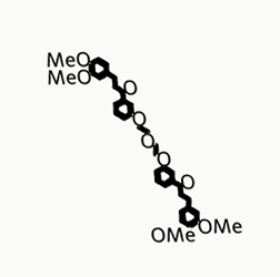 COc1ccc(CCC(=O)c2cccc(OCCOCCOc3cccc(C(=O)CCc4ccc(OC)c(OC)c4)c3)c2)cc1OC